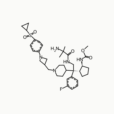 COC(=O)N[C@H]1CCC[C@@H]1C(CNC(=O)C(C)(C)N)(c1cccc(F)c1)C1CCN(CC2CN(c3ccc(S(=O)(=O)C4CC4)cc3)C2)CC1